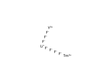 [F-].[F-].[F-].[F-].[F-].[F-].[F-].[Li+].[Tm+3].[Y+3]